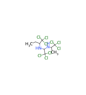 CCC(NC(NC(C)C(Cl)(Cl)Cl)C(Cl)(Cl)Cl)C(Cl)(Cl)Cl